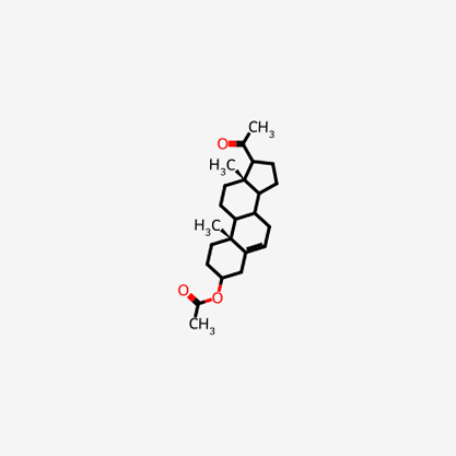 CC(=O)OC1CC[C@@]2(C)C(=CCC3C4CCC(C(C)=O)[C@@]4(C)CCC32)C1